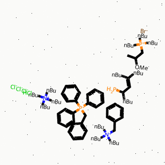 CCCCC(=CC(P)CCCC)CCCC.CCCC[N+](CCCC)(CCCC)CCCC.CCCC[N+](CCCC)(CCCC)Cc1ccccc1.CCCC[P+](CCCC)(CCCC)CC(C)OC.Cl.[Br-].[Cl-].[Cl-].[Cl-].c1ccc(C[P+](c2ccccc2)(c2ccccc2)c2ccccc2)cc1